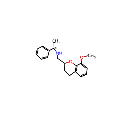 COc1cccc2c1OC(CN[C@@H](C)c1ccccc1)CC2